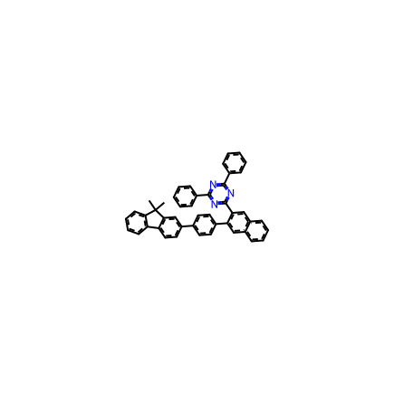 CC1(C)c2ccccc2-c2ccc(-c3ccc(-c4cc5ccccc5cc4-c4nc(-c5ccccc5)nc(-c5ccccc5)n4)cc3)cc21